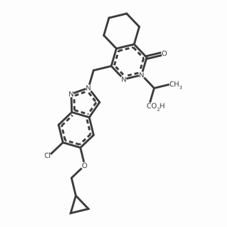 CC(C(=O)O)n1nc(Cn2cc3cc(OCC4CC4)c(Cl)cc3n2)c2c(c1=O)CCCC2